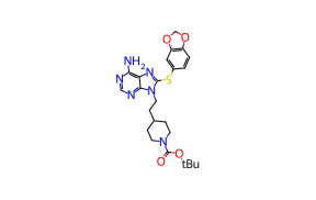 CC(C)(C)OC(=O)N1CCC(CCn2c(Sc3ccc4c(c3)OCO4)nc3c(N)ncnc32)CC1